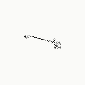 CCCCCCCCCCCCC=COC(=O)C(C)OS(=O)(=O)O